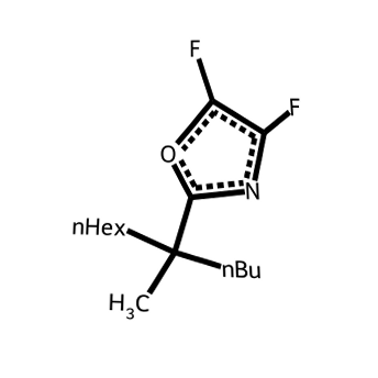 CCCCCCC(C)(CCCC)c1nc(F)c(F)o1